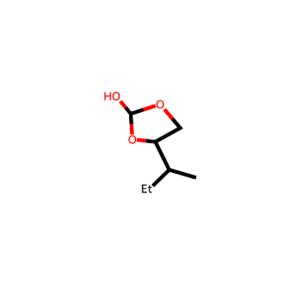 CCC(C)C1COC(O)O1